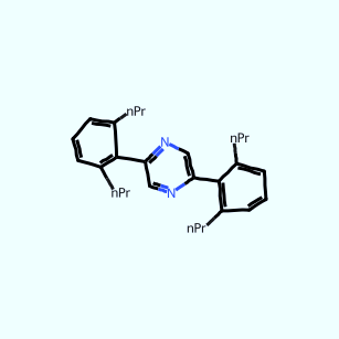 CCCc1cccc(CCC)c1-c1cnc(-c2c(CCC)cccc2CCC)cn1